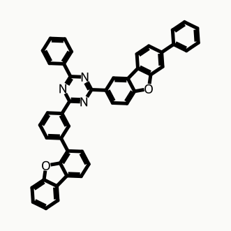 c1ccc(-c2ccc3c(c2)oc2ccc(-c4nc(-c5ccccc5)nc(-c5cccc(-c6cccc7c6oc6ccccc67)c5)n4)cc23)cc1